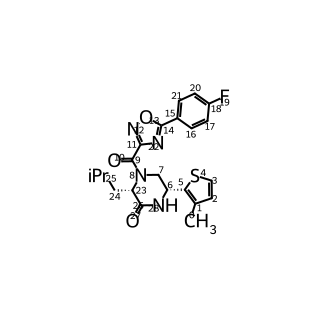 Cc1ccsc1[C@H]1CN(C(=O)c2noc(-c3ccc(F)cc3)n2)[C@@H](CC(C)C)C(=O)N1